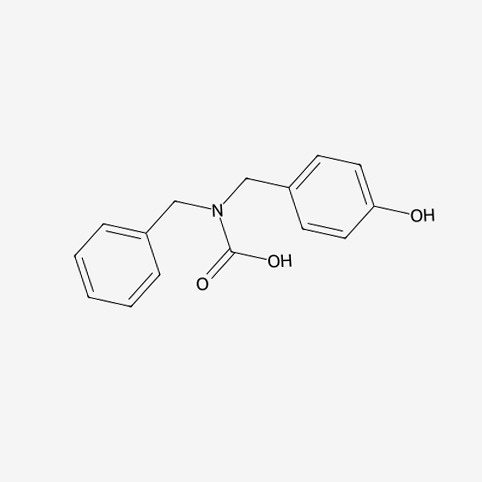 O=C(O)N(Cc1ccccc1)Cc1ccc(O)cc1